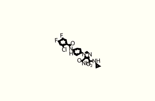 NC(=O)c1c(C(=O)NC2CC2)ncn1-c1ccc(NC(=O)c2cc(F)c(F)cc2Cl)cc1